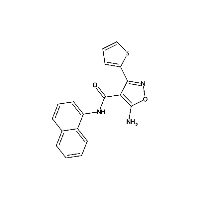 Nc1onc(-c2cccs2)c1C(=O)Nc1cccc2ccccc12